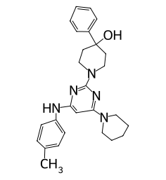 Cc1ccc(Nc2cc(N3CCCCC3)nc(N3CCC(O)(c4ccccc4)CC3)n2)cc1